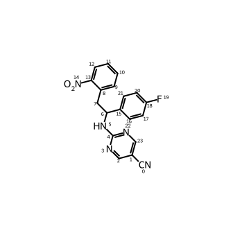 N#Cc1cnc(NC(Cc2ccccc2[N+](=O)[O-])c2ccc(F)cc2)nc1